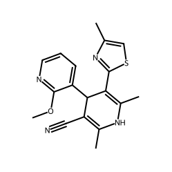 COc1ncccc1C1C(C#N)=C(C)NC(C)=C1c1nc(C)cs1